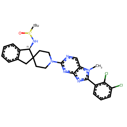 Cn1c(-c2cccc(Cl)c2Cl)nc2nc(N3CCC4(CC3)Cc3ccccc3[C@H]4N[S+]([O-])C(C)(C)C)ncc21